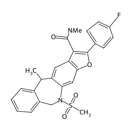 CNC(=O)c1c(-c2ccc(F)cc2)oc2cc3c(cc12)C(C)c1ccccc1CN3S(C)(=O)=O